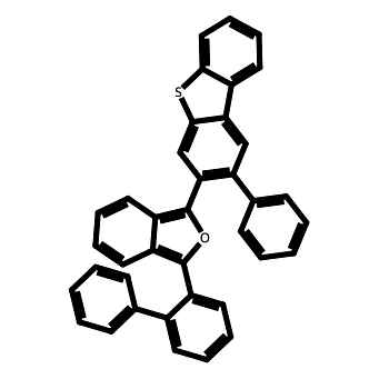 c1ccc(-c2ccccc2-c2oc(-c3cc4sc5ccccc5c4cc3-c3ccccc3)c3ccccc23)cc1